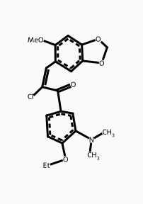 CCOc1ccc(C(=O)/C(Cl)=C\c2cc3c(cc2OC)OCO3)cc1N(C)C